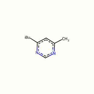 CCC(C)c1cc(C)ncn1